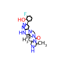 C[C@@H]1CNC[C@H](C)N1C(=O)N1CCN2c3cc(-c4cccc(F)c4O)nnc3NC[C@H]2C1